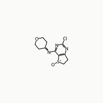 [O-][S+]1CCc2nc(Cl)nc(N=C3CCOCC3)c21